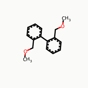 COCc1ccccc1-c1ccccc1COC